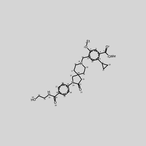 CCOc1cc(C(=O)OC)c(C2CC2)cc1CN1CCC2(CC1)CC(=O)N(c1ccc(C(=O)NCCO)cc1)C2